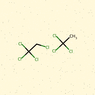 CC(Cl)(Cl)Cl.ClCC(Cl)(Cl)Cl